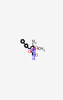 CCOC(=O)[C@H](C)CC(Cc1ccc(-c2ccccc2)cc1)NC(=O)c1c[nH]c(=O)[nH]1